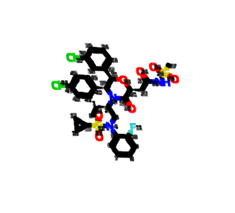 CC[C@@H](CN(c1ccccc1F)S(=O)(=O)C1CC1)N1C(=O)[C@@H](CC(=O)NS(C)(=O)=O)O[C@H](c2cccc(Cl)c2)[C@H]1c1ccc(Cl)cc1